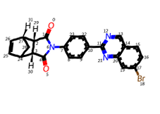 O=C1[C@@H]2[C@H](C(=O)N1c1ccc(-c3ncc4ccc(Br)cc4n3)cc1)C1C=C[C@H]2C1